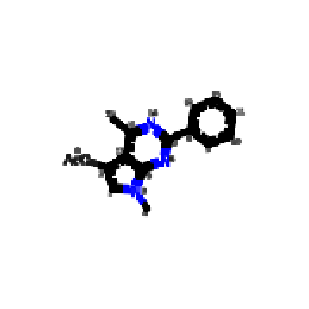 CC(=O)Oc1cn(C)c2nc(-c3ccccc3)nc(C)c12